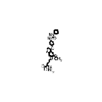 COc1cc2c(Oc3ccc(NC(=O)Nc4ccccc4)cc3)ccnc2cc1OCCCC(N)C(=O)O